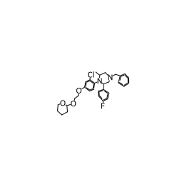 CC1CN(Cc2ccccc2)CC(c2ccc(F)cc2)N1c1ccc(OCCOC2CCCCO2)cc1Cl